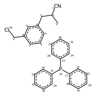 CC(C#N)Cc1cccc(CCl)c1.c1ccc(P(c2ccccc2)c2ccccc2)cc1